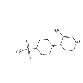 CS(=O)(=O)C1CCN(C2CCNC=C2N)CC1